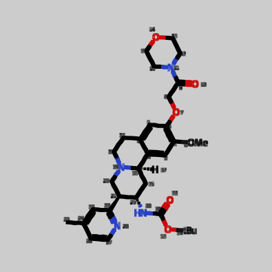 COc1cc2c(cc1OCC(=O)N1CCOCC1)CCN1C[C@H](c3cc(C)ccn3)[C@@H](NC(=O)OC(C)(C)C)C[C@H]21